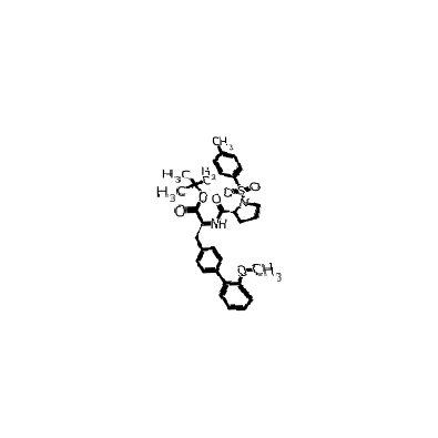 COc1ccccc1-c1ccc(C[C@H](NC(=O)[C@@H]2CCCN2S(=O)(=O)c2ccc(C)cc2)C(=O)OC(C)(C)C)cc1